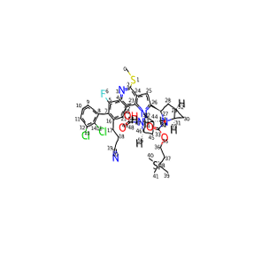 CSc1nc2c(F)c(-c3cccc(Cl)c3Cl)c(CCC#N)cc2c2c1cc([C@H]1C[C@H]3C[C@H]3N1C(=O)OCC[Si](C)(C)C)n2[C@H]1[C@@H]2C[C@H]1N(C(=O)O)C2